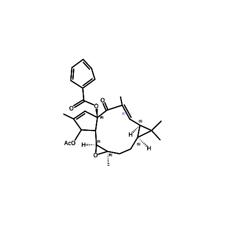 CC(=O)OC1C(C)=C[C@]2(OC(=O)c3ccccc3)C(=O)/C(C)=C/[C@@H]3[C@H](CC[C@@]4(C)O[C@H]4C12)C3(C)C